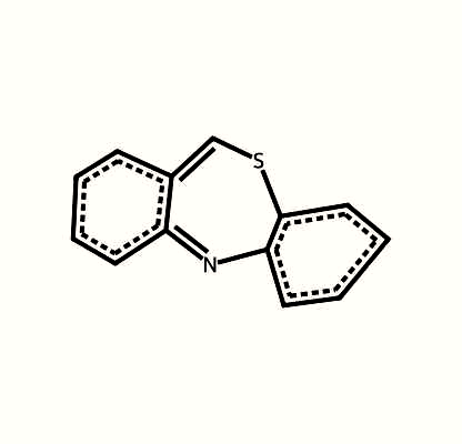 C1=c2ccccc2=Nc2ccccc2S1